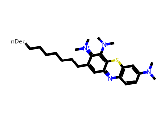 CCCCCCCCCCCCCCCCCc1cc2nc3ccc(N(C)C)cc3sc-2c(N(C)C)c1=[N+](C)C